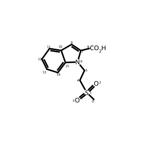 CS(=O)(=O)CCn1c(C(=O)O)cc2ccccc21